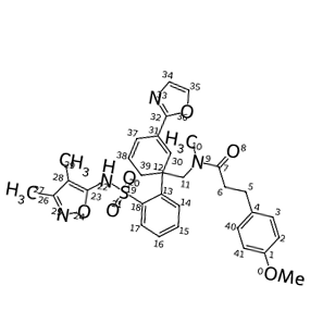 COc1ccc(CCC(=O)N(C)CC2(c3ccccc3S(=O)(=O)Nc3onc(C)c3C)C=C(c3ncco3)C=CC2)cc1